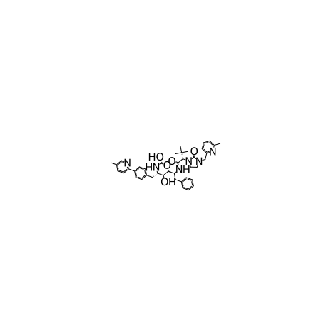 Cc1ccc(-c2ccc(C[C@H](NC(=O)O)[C@H](O)C[C@H](Cc3ccccc3)NC(=O)[C@@H](N3CCN(Cc4cccc(C)n4)C3=O)C(C)(C)C)cc2)nc1